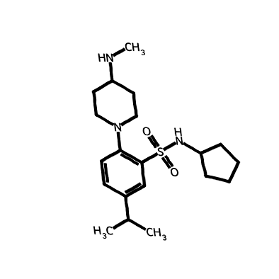 CNC1CCN(c2ccc(C(C)C)cc2S(=O)(=O)NC2CCCC2)CC1